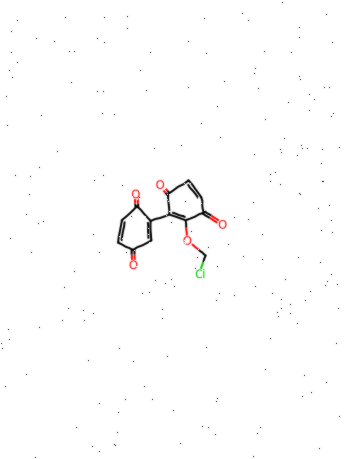 O=C1C=CC(=O)C(C2=C(OCCl)C(=O)C=CC2=O)=C1